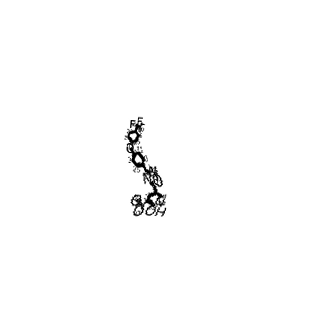 O=[N+]([O-])c1cc(-c2nc(-c3ccc(Oc4ccc(C(F)(F)F)cc4)cc3)no2)cnc1O